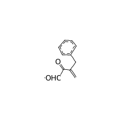 C=C(Cc1ccccc1)C(=O)[C]=O